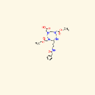 CCOC(=O)CN1CCNC(CCCCNC(=O)Cc2ccccc2)CN(CC(=O)OCC)CCN(CC(=O)O)CC1